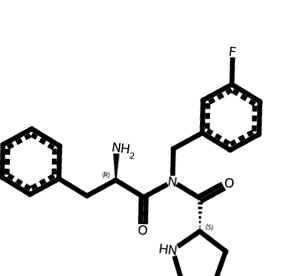 N[C@H](Cc1ccccc1)C(=O)N(Cc1cccc(F)c1)C(=O)[C@@H]1CCCN1